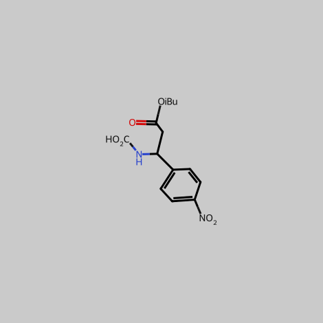 CC(C)COC(=O)CC(NC(=O)O)c1ccc([N+](=O)[O-])cc1